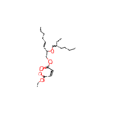 CCCCC=CC(COC(=O)/C=C\C(=O)OCC)OC=C(CC)CCCC